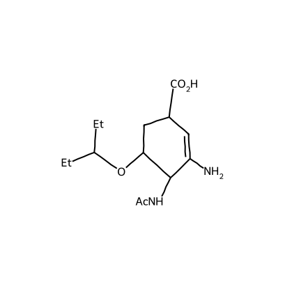 CCC(CC)OC1CC(C(=O)O)C=C(N)C1NC(C)=O